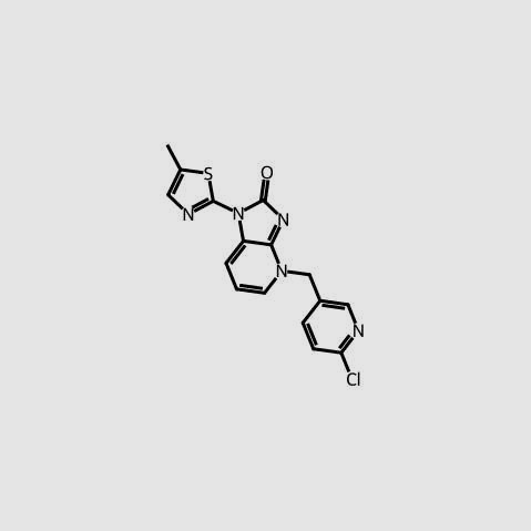 Cc1cnc(-n2c3cccn(Cc4ccc(Cl)nc4)c-3nc2=O)s1